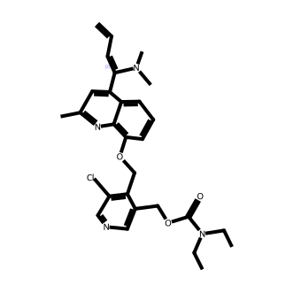 C=C/C=C(/c1cc(C)nc2c(OCc3c(Cl)cncc3COC(=O)N(CC)CC)cccc12)N(C)C